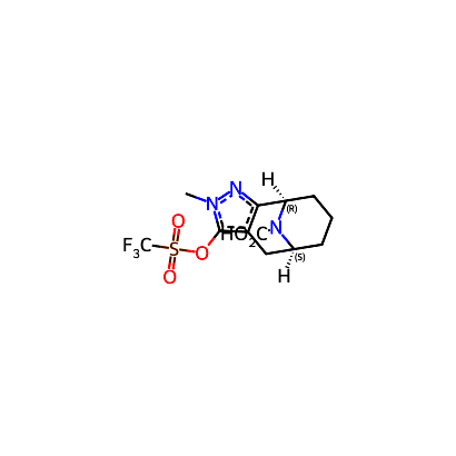 Cn1nc2c(c1OS(=O)(=O)C(F)(F)F)C[C@@H]1CCC[C@H]2N1C(=O)O